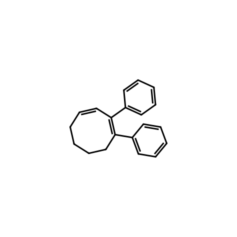 C1=C\C(c2ccccc2)=C(\c2ccccc2)CCCC/1